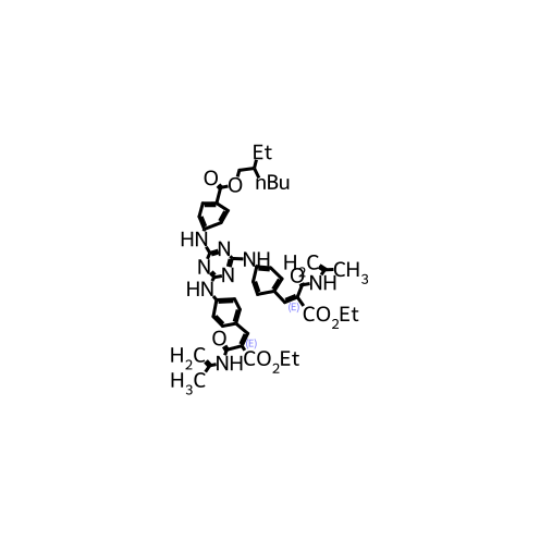 C=C(C)NC(=O)/C(=C\c1ccc(Nc2nc(Nc3ccc(/C=C(\C(=O)NC(=C)C)C(=O)OCC)cc3)nc(Nc3ccc(C(=O)OCC(CC)CCCC)cc3)n2)cc1)C(=O)OCC